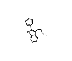 C/C=C\c1c(-c2ccccc2)[nH]c2ncccc12